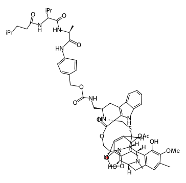 COc1c(C)cc2c(c1O)[C@H]1[C@H]3[C@H]4SC[C@@]5(N[C@@H](CNC(=O)OCc6ccc(NC(=O)[C@H](C)NC(=O)C(NC(=O)CCC(C)C)C(C)C)cc6)Cc6c5[nH]c5ccccc65)C(=O)OC[C@H](c5c6c(c(C)c(OC(C)=O)c54)OCO6)N3[C@H](O)[C@@H](C2)N1C